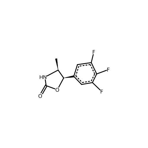 C[C@@H]1NC(=O)O[C@@H]1c1cc(F)c(F)c(F)c1